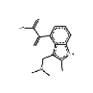 C=C(C(=O)O)c1cccc2[nH]c(C)c(CN(C)C)c12